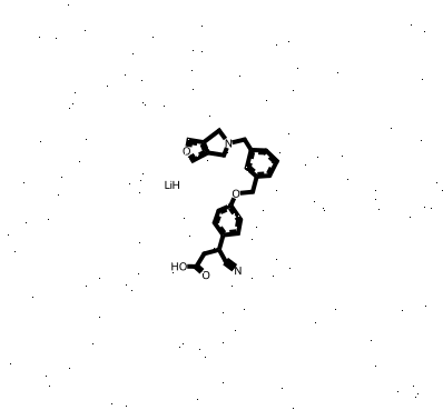 N#CC(CC(=O)O)c1ccc(OCc2cccc(CN3Cc4cocc4C3)c2)cc1.[LiH]